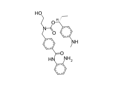 CC[C@@H](OC(=O)N(CCO)Cc1ccc(C(=O)Nc2ccccc2N)cc1)c1ccc(NC)cc1